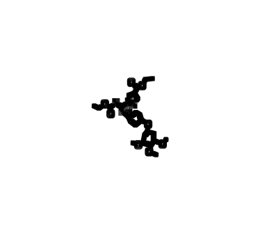 CCOC(=O)/N=C(\Nc1ccc(Oc2cc(OC)c(OC)c(OC)c2)cc1)n1cc(C(=O)OCC)cn1